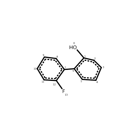 Oc1ccccc1-c1ccccc1F